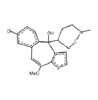 COC1=Cc2cc(Cl)ccc2C(O)(C2CCN(C)CC2)c2ccsc21